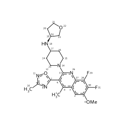 COc1cc2c(C)c(-c3nc(C)no3)c(N3CCC(N[C@H]4CCOC4)CC3)nc2c(F)c1F